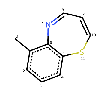 Cc1cccc2c1N=CC=CS2